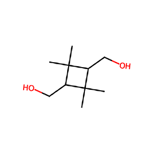 CC1(C)C(CO)C(C)(C)C1CO